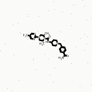 C[C@@H]1CN(c2ncc(C(F)(F)F)cn2)C[C@H](C)N1C(=O)NC1CCN(Cc2ccc(C(N)=O)cc2)CC1